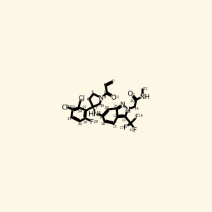 C=CC(=O)N1CC[C@@](Nc2ccc3c(C(F)(F)F)n(CC(=O)NC)nc3c2)(c2c(F)ccc(Cl)c2Cl)C1